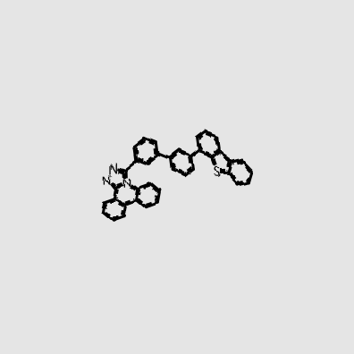 c1cc(-c2cccc(-c3nnc4c5ccccc5c5ccccc5n34)c2)cc(-c2cccc3c2sc2ccccc23)c1